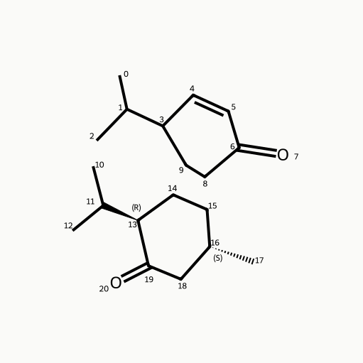 CC(C)C1C=CC(=O)CC1.CC(C)[C@H]1CC[C@H](C)CC1=O